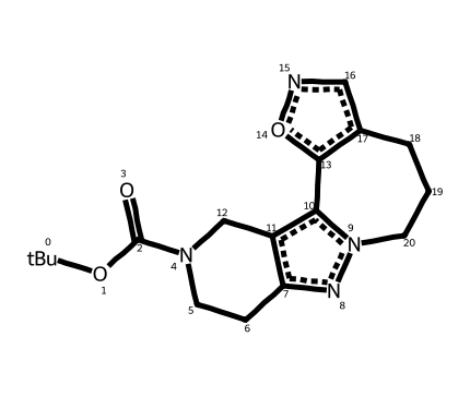 CC(C)(C)OC(=O)N1CCc2nn3c(c2C1)-c1oncc1CCC3